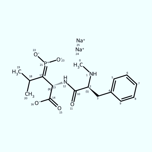 CN[C@@H](Cc1ccccc1)C(=O)N[C@H](C(=O)[O-])C(C(C)C)=[P+]([O-])[O-].[Na+].[Na+]